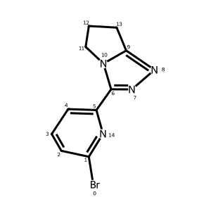 Brc1cccc(-c2nnc3n2CCC3)n1